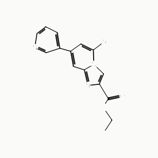 CCOC(=O)c1cn2c(N)cc(-c3cccnc3)cc2n1